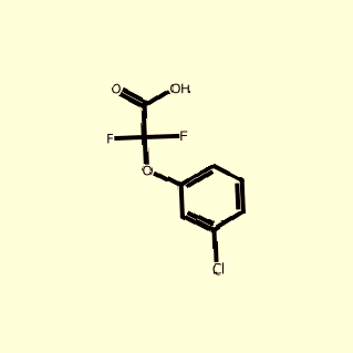 O=C(O)C(F)(F)Oc1cccc(Cl)c1